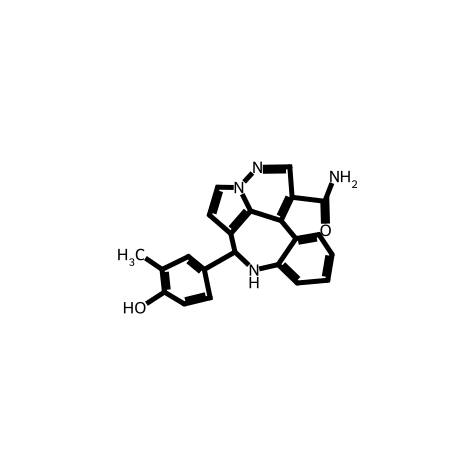 Cc1cc(C2Nc3ccccc3-c3c(C(N)=O)cnn4ccc2c34)ccc1O